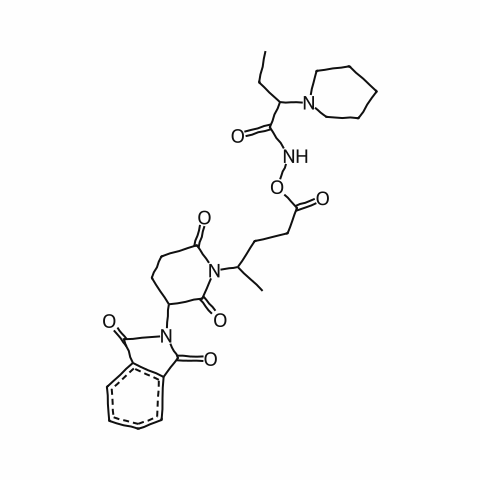 CCC(C(=O)NOC(=O)CCC(C)N1C(=O)CCC(N2C(=O)c3ccccc3C2=O)C1=O)N1CCCCC1